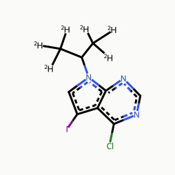 [2H]C([2H])([2H])C(n1cc(I)c2c(Cl)ncnc21)C([2H])([2H])[2H]